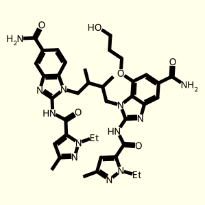 CCn1nc(C)cc1C(=O)Nc1nc2cc(C(N)=O)ccc2n1CC(C)C(C)Cn1c(NC(=O)c2cc(C)nn2CC)nc2cc(C(N)=O)cc(OCCCO)c21